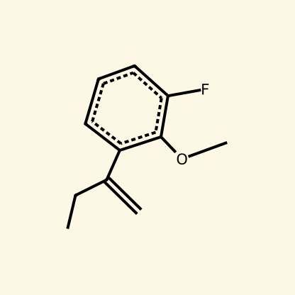 C=C(CC)c1cccc(F)c1OC